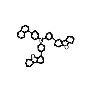 c1cc(-c2ccc3oc4ccccc4c3c2)cc(N(c2ccc(-c3cccc4ccccc34)cc2)c2ccc(-c3cccc4c3oc3ccccc34)cc2)c1